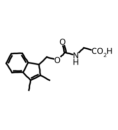 CC1=C(C)C(COC(=O)NCC(=O)O)c2ccccc21